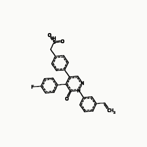 C=Cc1cccc(-n2ncc(-c3ccc(C[SH](=O)=O)cc3)c(-c3ccc(F)cc3)c2=O)c1